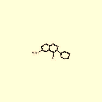 COc1ccc2occ(-c3ccccc3)c(=O)c2c1